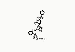 C[C@H](/N=[P+](\[O-])Oc1ccccc1OC[C@H]1O[C@@H](n2ccc(NC(=O)c3ccccc3)nc2=O)[C@](C)(F)[C@@H]1O)C(=O)O